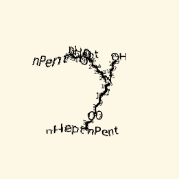 CCCCCCCC(CCCCC)CCOC(=O)CCCCCCN(CCCCCO)CCCCCCC(=O)OCCC(CCCCC)CCCCCCC